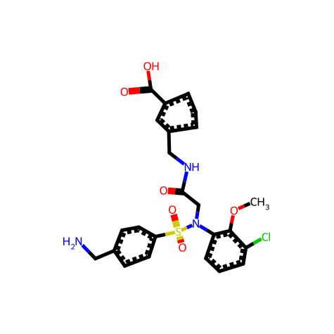 COc1c(Cl)cccc1N(CC(=O)NCc1cccc(C(=O)O)c1)S(=O)(=O)c1ccc(CN)cc1